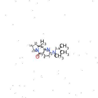 CC(C)CN(C)c1ccc(C(=O)N2CCCC2C)cn1